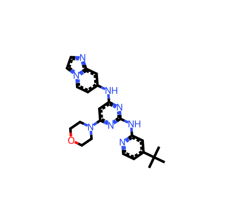 CC(C)(C)c1ccnc(Nc2nc(Nc3ccn4ccnc4c3)cc(N3CCOCC3)n2)c1